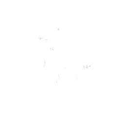 CCCc1nsc(Oc2cccc(N)c2)n1